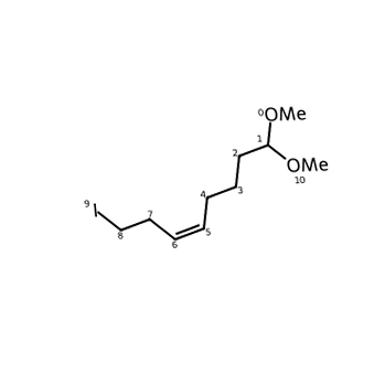 COC(CCC/C=C\CCI)OC